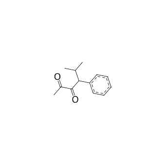 CC(=O)C(=O)C(c1ccccc1)C(C)C